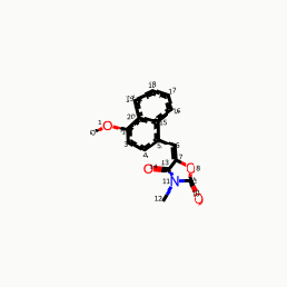 COc1ccc(/C=C2/OC(=O)N(C)C2=O)c2ccccc12